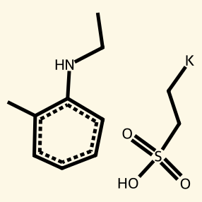 CCNc1ccccc1C.O=S(=O)(O)C[CH2][K]